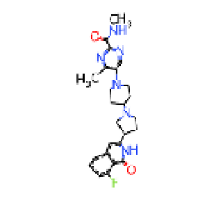 CNC(=O)c1ncc(N2CCC(N3CCC(c4cc5cccc(F)c5c(=O)[nH]4)C3)CC2)c(C)n1